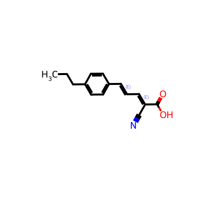 CCCc1ccc(/C=C/C=C(\C#N)C(=O)O)cc1